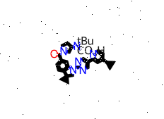 CC(C)(C)N(C(=O)O)C1CCN(C(=O)c2ccc3c(c2)N(c2ncc(-c4cc(C5CC5)ccn4)cn2)CC32CC2)C1